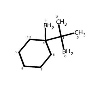 BC(C)(C)C1(B)CCCCC1